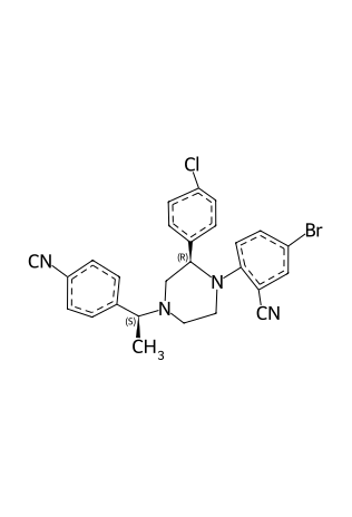 [C-]#[N+]c1ccc([C@H](C)N2CCN(c3ccc(Br)cc3C#N)[C@H](c3ccc(Cl)cc3)C2)cc1